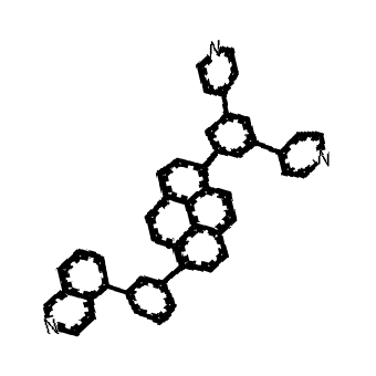 c1cc(-c2cccc3cnccc23)cc(-c2ccc3ccc4c(-c5cc(-c6ccncc6)cc(-c6ccncc6)c5)ccc5ccc2c3c54)c1